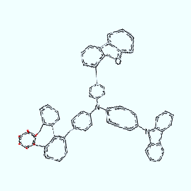 c1ccc(-c2ccccc2-c2c(-c3ccccc3)cccc2-c2ccc(N(c3ccc(-c4cccc5c4oc4ccccc45)cc3)c3ccc(-n4c5ccccc5c5ccccc54)cc3)cc2)cc1